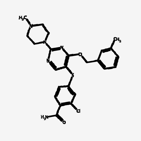 Cc1cccc(COc2nc(N3CCN(C)CC3)ncc2Sc2ccc(C(N)=O)c(Cl)c2)c1